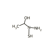 CC(O)N(N)S